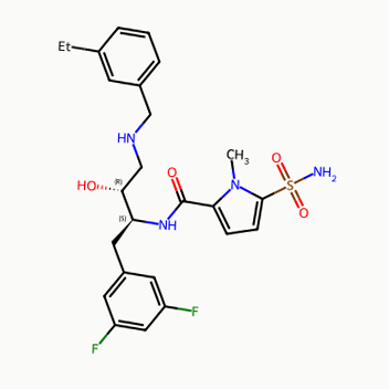 CCc1cccc(CNC[C@@H](O)[C@H](Cc2cc(F)cc(F)c2)NC(=O)c2ccc(S(N)(=O)=O)n2C)c1